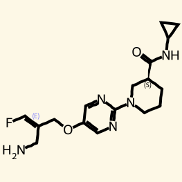 NC/C(=C\F)COc1cnc(N2CCC[C@H](C(=O)NC3CC3)C2)nc1